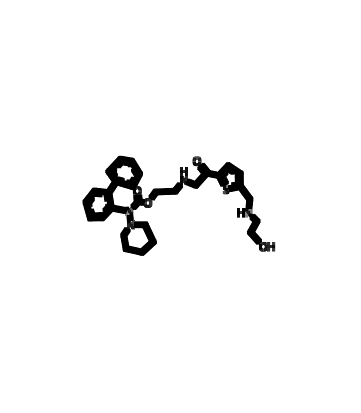 O=C(CNCCOC(=O)N(c1ccccc1-c1ccccc1)N1CC[CH]CC1)c1ccc(CNCCO)s1